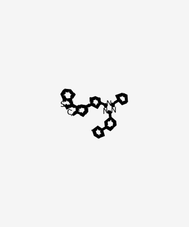 c1ccc(-c2cccc(-c3nc(-c4ccccc4)nc(-c4cccc(-c5ccc6ccc7sc8ccccc8c7c6c5)c4)n3)c2)cc1